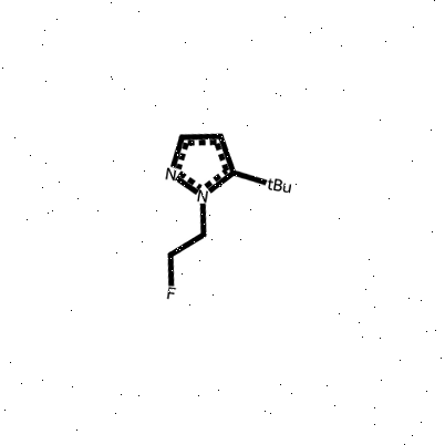 CC(C)(C)c1ccnn1CCF